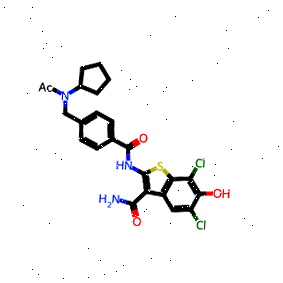 CC(=O)N(Cc1ccc(C(=O)Nc2sc3c(Cl)c(O)c(Cl)cc3c2C(N)=O)cc1)C1CCCC1